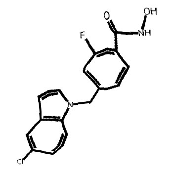 O=C(NO)c1ccc(Cn2ccc3cc(Cl)ccc32)cc1F